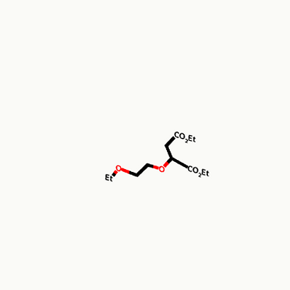 CCOCCOC(CC(=O)OCC)C(=O)OCC